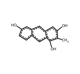 Cc1c(O)cc2cc3cc(O)ccc3cc2c1O